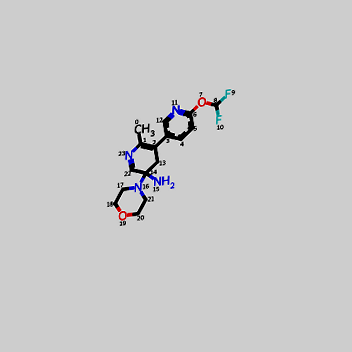 CC1=C(c2ccc(OC(F)F)nc2)CC(N)(N2CCOCC2)C=N1